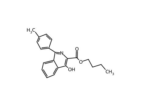 CCCCOC(=O)c1nc(-c2ccc(C)cc2)c2ccccc2c1O